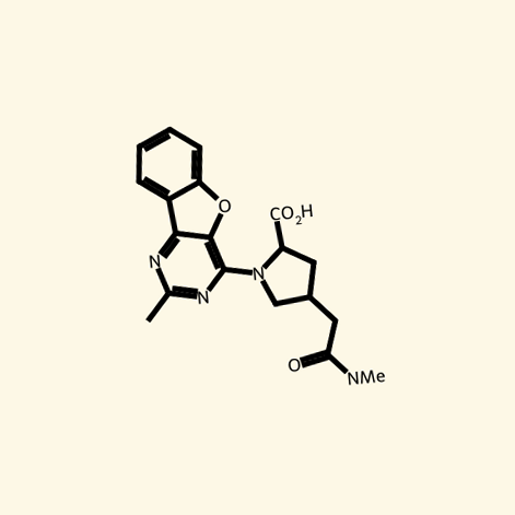 CNC(=O)CC1CC(C(=O)O)N(c2nc(C)nc3c2oc2ccccc23)C1